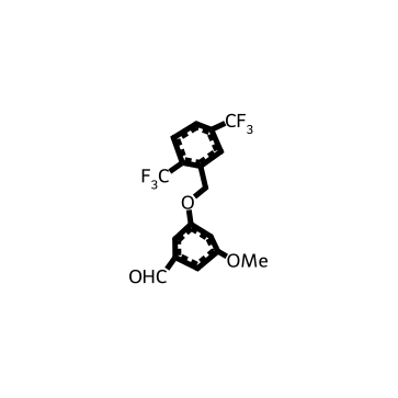 COc1cc(C=O)cc(OCc2cc(C(F)(F)F)ccc2C(F)(F)F)c1